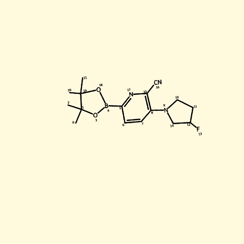 CC1(C)OB(c2ccc(N3CCC(F)C3)c(C#N)n2)OC1(C)C